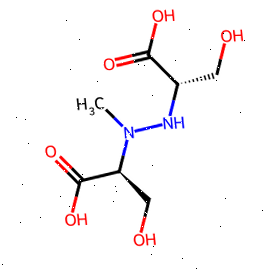 CN(N[C@@H](CO)C(=O)O)[C@@H](CO)C(=O)O